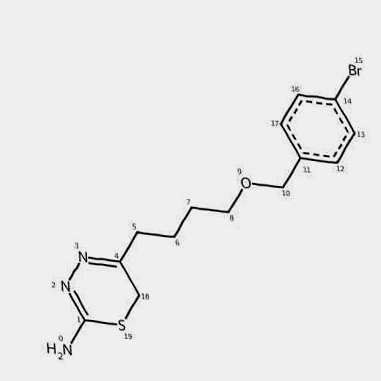 NC1=NN=C(CCCCOCc2ccc(Br)cc2)CS1